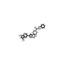 O=C(NCc1ccccc1)N1CCC2(CC1)CCn1nc(-c3cnc4[nH]cc(Cl)c4c3)cc12